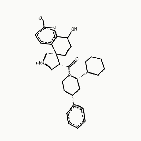 O=C([C@@H]1CNC[C@]12CCC(O)c1nc(Cl)ccc12)N1CC[C@@H](c2ccccc2)C[C@H]1C1CCCCC1